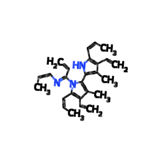 C=C/C(=N\C=C/C)n1c(/C=C\C)c(C=C)c(C)c1-c1[nH]c(/C=C\C)c(C=C)c1C